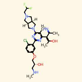 CNC[C@@H](O)COc1ccc(Cl)c(-c2nc(/C(C(C)=N)=C(\C)O)c(C)c(N3C[C@H]4CN(CC(F)F)C[C@H]4C3)n2)c1